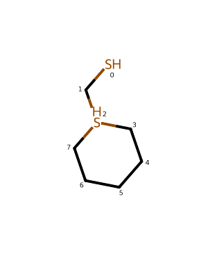 SC[SH]1CCCCC1